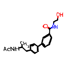 CC(=O)NC(C)Cc1ccc(-c2cccc(C(=O)NCCO)c2)cc1